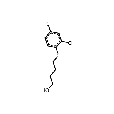 OCCCCOc1ccc(Cl)cc1Cl